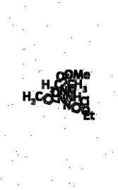 CCOc1ccc(/N=c2\[nH]c(=O)n([C@@H](C)[C@@H](C)C(=O)OC)c(=O)n2Cc2ccc(C)cc2)cc1Cl